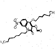 CCCCCCCCn1c(=O)c(OC=O)c(OCCCCCC)c2ccc([N+](=O)[O-])cc21